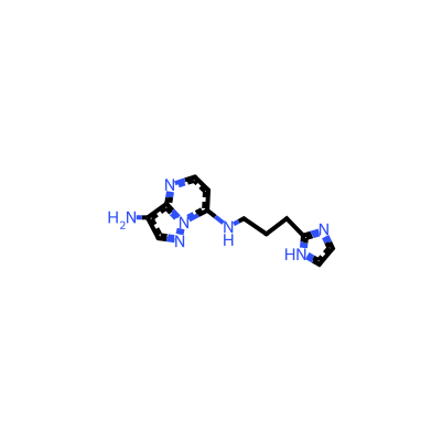 Nc1cnn2c(NCCCc3ncc[nH]3)ccnc12